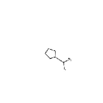 [CH2]C(Br)C1CCCC1